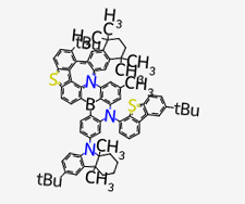 Cc1cc2c3c(c1)-n1c4cc5c(cc4c4c(C(C)(C)C)ccc6sc7ccc(c1c7c64)B3c1ccc(N3c4ccc(C(C)(C)C)cc4C4(C)CCCCC34C)cc1N2c1cccc2c1sc1ccc(C(C)(C)C)cc12)C(C)(C)CCC5(C)C